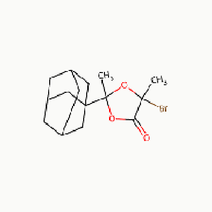 CC1(Br)OC(C)(C23CC4CC(CC(C4)C2)C3)OC1=O